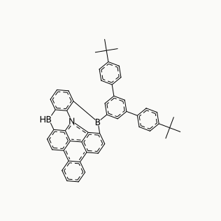 CC(C)(C)c1ccc(-c2cc(B3c4cccc5c4-n4c6c(ccc7c8ccccc8c8ccc3c4c8c76)B5)cc(-c3ccc(C(C)(C)C)cc3)c2)cc1